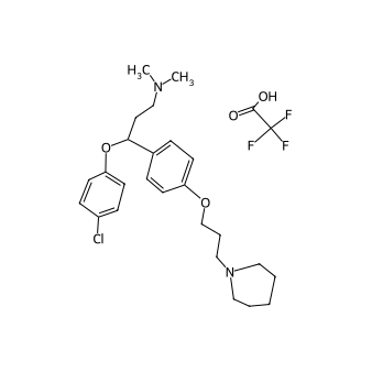 CN(C)CCC(Oc1ccc(Cl)cc1)c1ccc(OCCCN2CCCCC2)cc1.O=C(O)C(F)(F)F